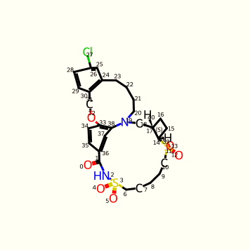 O=C1NS(=O)(=O)CCCCCS(=O)(=O)[C@H]2CC[C@H]2CN2CCCCc3cc(Cl)ccc3COc3ccc1cc32